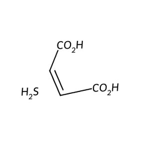 O=C(O)/C=C\C(=O)O.S